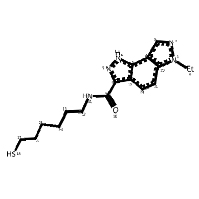 CCn1ncc2c3[nH]nc(C(=O)NCCCCCCS)c3ccc21